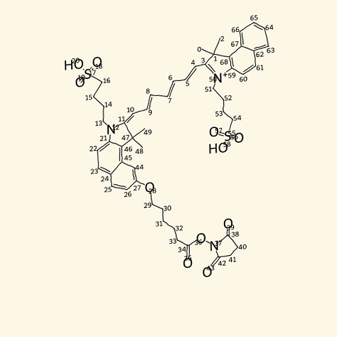 CC1(C)C(/C=C/C=C/C=C/C=C2/N(CCCCS(=O)(=O)O)c3ccc4ccc(OCCCCCC(=O)ON5C(=O)CCC5=O)cc4c3C2(C)C)=[N+](CCCCS(=O)(=O)O)c2ccc3ccccc3c21